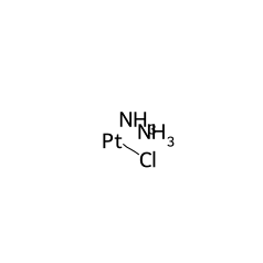 N.N.[Cl][Pt]